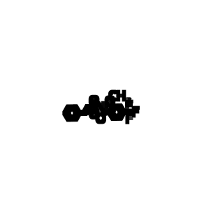 COc1cc(C(F)(F)F)ccc1C(=O)NS(=O)(=O)C=Cc1ccccc1